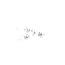 CO[C@@H]1C[C@@H](C)O[C@@H](O[C@@H]2[C@@H](C)[C@H](O[C@H]3C[C@@](C)(OC)[C@@H](O)[C@H](C)O3)[C@@H](C)C(=O)O[C@H](I)[C@@]3(C)OC(=O)[C@@H](SCCn4cnc5c(N)ncnc54)[C@@H]3[C@@H](C)C(=O)[C@H](C)C[C@@]2(C)OC)[C@H]1N(C)C